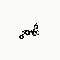 C[C@H]1C[C@H](CO)CN1c1sc(-c2ccc3c(c2)ncn3C2CCCCC2)c2nc[nH]c(=O)c12